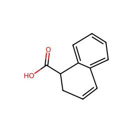 O=C(O)C1CC=Cc2ccccc21